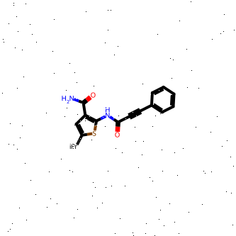 CC(C)c1cc(C(N)=O)c(NC(=O)C#Cc2ccccc2)s1